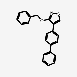 c1ccc(COc2nscc2-c2ccc(-c3ccccc3)cc2)cc1